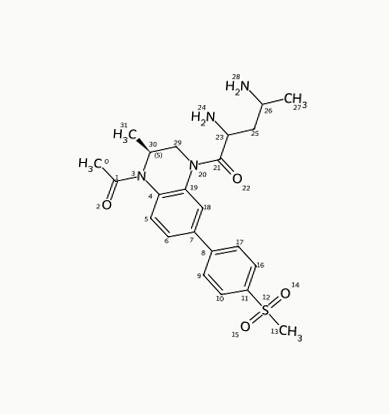 CC(=O)N1c2ccc(-c3ccc(S(C)(=O)=O)cc3)cc2N(C(=O)C(N)CC(C)N)C[C@@H]1C